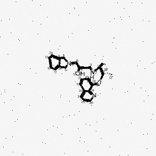 C=C(NCC(O)CN1Cc2ccccc2C1)[C@H](C)Oc1cccc2cccnc12